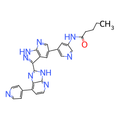 CCCCC(=O)Nc1cncc(-c2cnc3[nH]nc(-c4nc5c(-c6ccncc6)ccnc5[nH]4)c3c2)c1